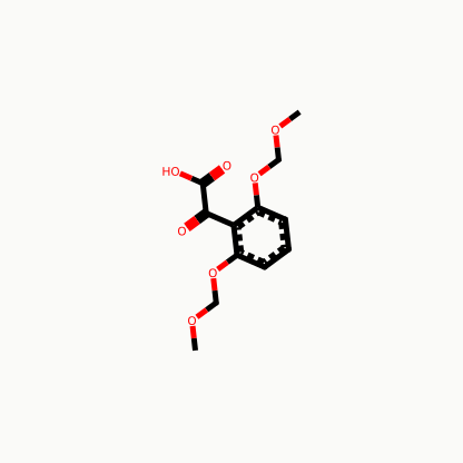 COCOc1cccc(OCOC)c1C(=O)C(=O)O